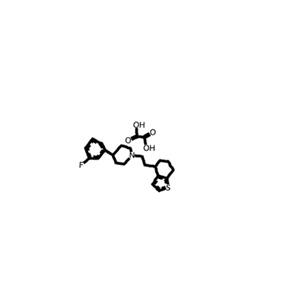 Fc1cccc(C2CCN(CCC3CCCc4sccc43)CC2)c1.O=C(O)C(=O)O